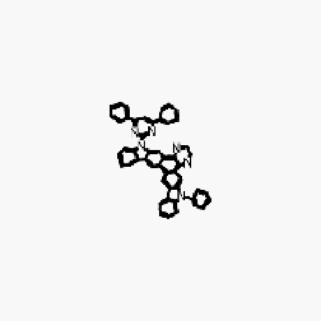 c1ccc(-c2cc(-c3ccccc3)nc(-n3c4ccccc4c4cc5c6cc7c8ccccc8n(-c8ccccc8)c7cc6c6nccnc6c5cc43)n2)cc1